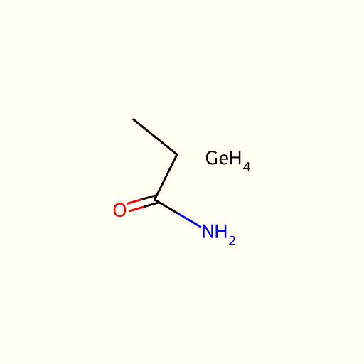 CCC(N)=O.[GeH4]